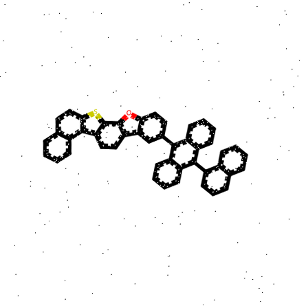 c1ccc2c(-c3c4ccccc4c(-c4ccc5oc6c(ccc7c6sc6ccc8ccccc8c67)c5c4)c4ccccc34)cccc2c1